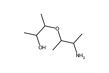 CC(N)C(C)OC(C)C(C)O